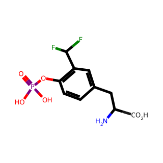 NC(Cc1ccc(OP(=O)(O)O)c(C(F)F)c1)C(=O)O